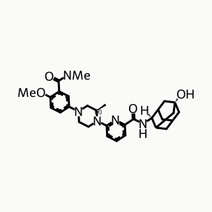 CNC(=O)c1cc(N2CCN(c3cccc(C(=O)N[C@H]4C5CC6CC4C[C@](O)(C6)C5)n3)[C@H](C)C2)ccc1OC